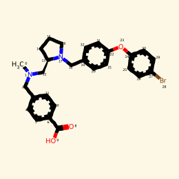 CN(Cc1ccc(C(=O)O)cc1)C[C@H]1CCCN1Cc1ccc(Oc2ccc(Br)cc2)cc1